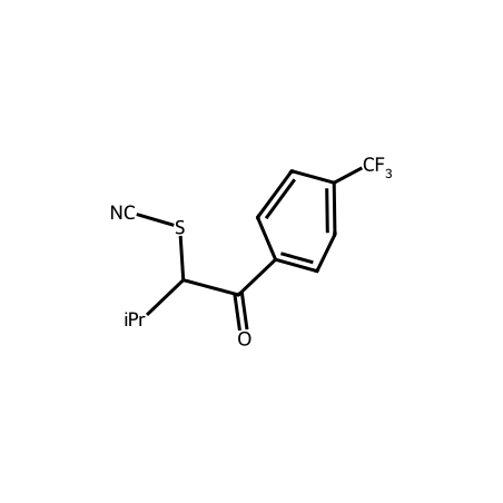 CC(C)C(SC#N)C(=O)c1ccc(C(F)(F)F)cc1